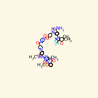 CCOc1cc(N2CCC(C(=O)N3CCN(C(=O)OC4CCC(Nc5cc(-n6nc(C(F)(F)F)c7c6CC(C)(C)CC7=O)ccc5C(N)=O)CC4)CC3)CC2)ccc1Nc1ncc2c(n1)N(S(C)(=O)=O)c1ccccc1C(=O)N2C